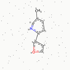 Cc1ccc(-c2ccoc2)nc1